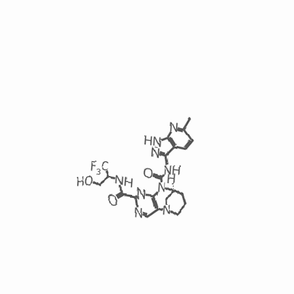 Cc1ccc2c(NC(=O)N3c4nc(C(=O)NC(CO)C(F)(F)F)ncc4N4CCC[C@H]3C4)n[nH]c2n1